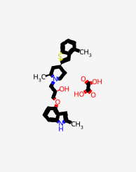 Cc1cc2c(OC[C@@H](O)CN3CC[C@@H](c4cc5c(C)cccc5s4)C[C@@H]3C)cccc2[nH]1.O=C(O)C(=O)O